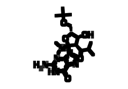 CC(C)C(=O)[C@@H]1[C@H](O)[C@@H](COC(C)(C)C)O[C@]1(n1cnc2c(=O)[nH]c(N)nc21)[SiH](C)C